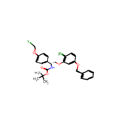 CC(C)(C)OC(=O)N[C@@H](COc1cc(OCc2ccccc2)ccc1Br)c1ccc(OCF)cc1